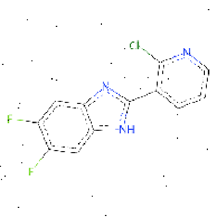 Fc1cc2nc(-c3cccnc3Cl)[nH]c2cc1F